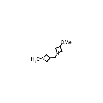 COC1CN(CC2CN(C)C2)C1